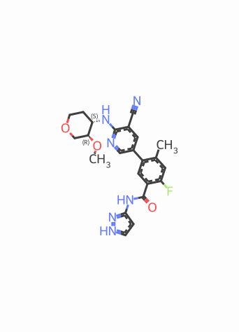 CO[C@H]1COCC[C@@H]1Nc1ncc(-c2cc(C(=O)Nc3cc[nH]n3)c(F)cc2C)cc1C#N